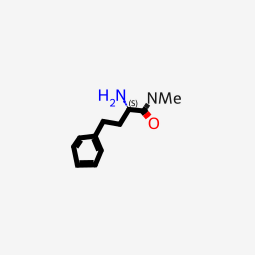 CNC(=O)[C@@H](N)CCc1ccccc1